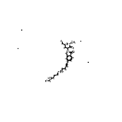 CNC(=O)C(CCC=O)N1Cc2cc(C#CCCNCCCCNC=O)ccc2C1=O